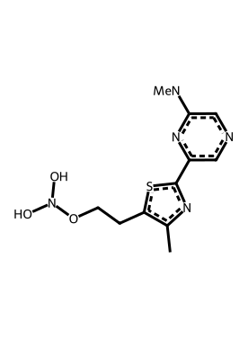 CNc1cncc(-c2nc(C)c(CCON(O)O)s2)n1